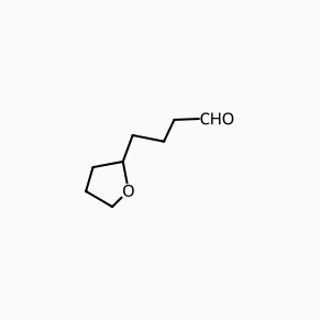 O=CCCCC1CCCO1